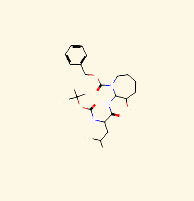 CC(C)CC(NC(=O)OC(C)(C)C)C(=O)NC1C(O)CCCCN1C(=O)OCc1ccccc1